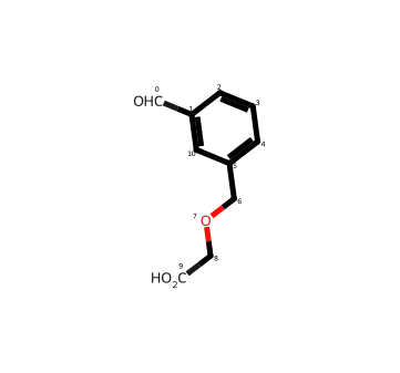 O=Cc1cccc(COCC(=O)O)c1